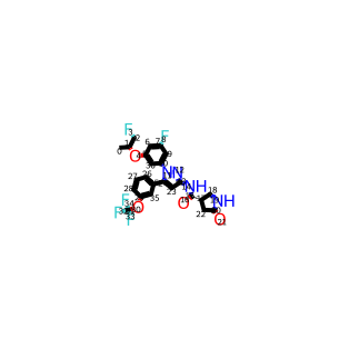 CC(CF)Oc1cc(F)cc(-n2nc(NC(=O)[C@@H]3CNC(=O)C3)cc2-c2cccc(OC(F)(F)F)c2)c1